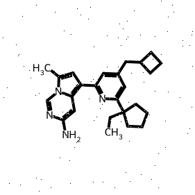 CCC1(c2cc(CC3CCC3)cc(-c3cc(C)n4cnc(N)cc34)n2)CCCC1